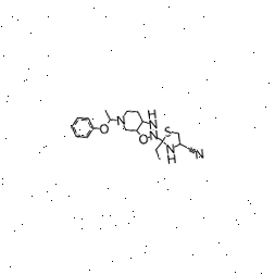 CCC1(N2NC3CCN(C(C)Oc4ccccc4)CC3O2)NC(C#N)CS1